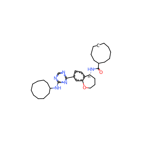 O=C(N[C@@H]1CCCOc2cc(-c3ncnc(NC4CCCCCCCCC4)n3)ccc21)C1CCCCCCCCC1